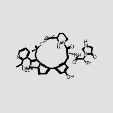 CCn1c(-c2cccnc2[C@H](C)OC)c2c3cc(ccc31)-c1cc(O)cc(c1)C[C@H](NC(=O)[C@H](C(C)C)N1CNCC1=O)C(=O)N1CCC[C@](C=O)(COCC(C)(C)C2)N1